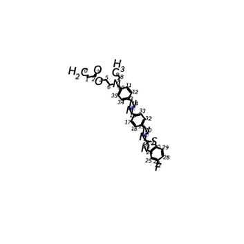 C=CC(=O)OCCN(CC)c1ccc(/N=N/c2ccc(/N=N/c3nc4cc(F)ccc4s3)cc2)cc1